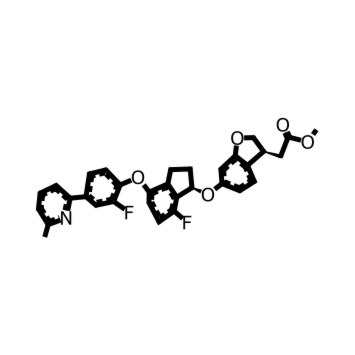 COC(=O)C[C@@H]1COc2cc(O[C@@H]3CCc4c(Oc5ccc(-c6cccc(C)n6)cc5F)ccc(F)c43)ccc21